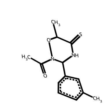 CC(=O)N1OC(C)C(=S)NC1c1cccc(C)c1